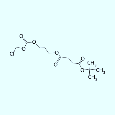 CC(C)(C)OC(=O)CCC(=O)OCCCOC(=O)OCCl